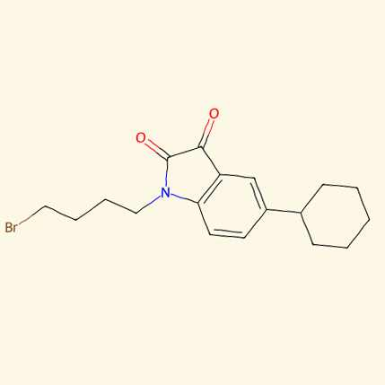 O=C1C(=O)N(CCCCBr)c2ccc(C3CCCCC3)cc21